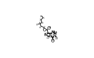 CCCCC(C)CCOC(=O)c1ncn2c(=O)n(C)nnc12